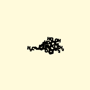 CCC[C@@H]1C[C@@H](C(=O)N[C@H]([C@@H]2CCCC2N)[C@H]2OC(SC)[C@H](O)C(O)C2O)N(C)C1